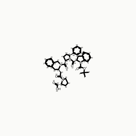 CC(C)(C)OC(=O)N1c2ccccc2C[C@@H]1C(=O)N1[C@@H](C(=O)N2Cc3ccccc3C[C@@H]2CC(=O)N2CCC[C@@H]2C(=O)O)CC[C@H]1c1ccccc1